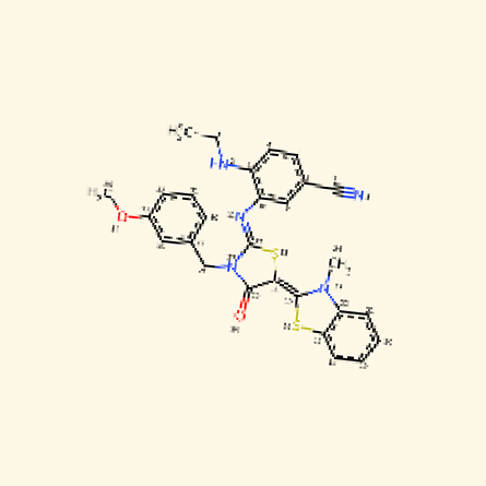 CCNc1ccc(C#N)cc1N=C1SC(=C2Sc3ccccc3N2C)C(=O)N1Cc1cccc(OC)c1